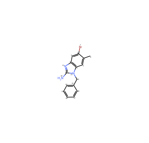 Cc1cc2c(cc1Br)nc(N)n2Cc1ccccc1